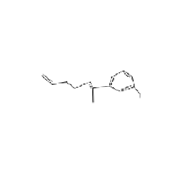 C=CCC/C=C(\C)c1cccc(I)c1